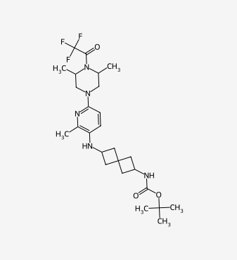 Cc1nc(N2CC(C)N(C(=O)C(F)(F)F)C(C)C2)ccc1NC1CC2(CC(NC(=O)OC(C)(C)C)C2)C1